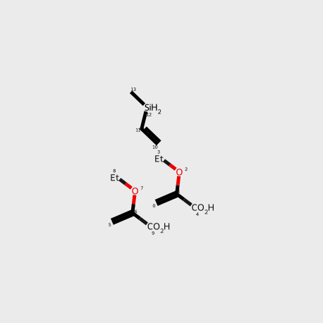 C=C(OCC)C(=O)O.C=C(OCC)C(=O)O.C=C[SiH2]C